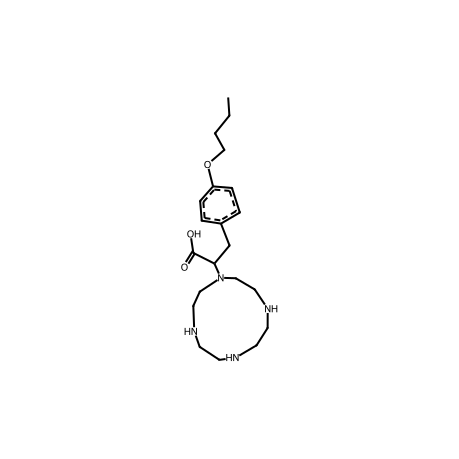 CCCCOc1ccc(CC(C(=O)O)N2CCNCCNCCNCC2)cc1